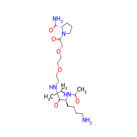 CC(=O)N[C@@H](CCCCN)C(=O)C(C)(C)NCCOCCOCC(=O)N1CCC[C@H]1C(N)=O